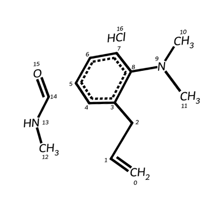 C=CCc1ccccc1N(C)C.CNC=O.Cl